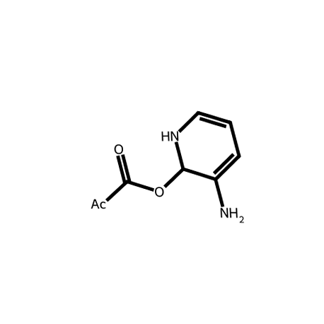 CC(=O)C(=O)OC1NC=CC=C1N